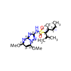 C=C(C)/C(=C(\C=C/C)C(F)(F)F)S(=O)(=O)Nc1nc2nc(OC)cc(OC)n2n1